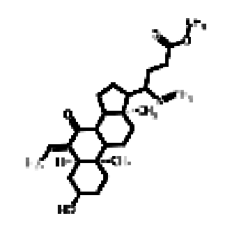 C=NC(CCC(=O)OC)C1CCC2C3C(=O)/C(=C/C)[C@@H]4C[C@H](O)CC[C@]4(C)C3CC[C@]12C